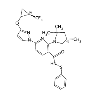 C[C@@H]1CN(c2nc(-n3ccc(OC4C[C@H]4C(F)(F)F)n3)ccc2C(=O)NSc2ccccc2)C(C)(C)C1